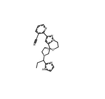 CCC(c1ncc[nH]1)N1CC[C@]2(C1)OCCn1nc(-c3ncccc3C#N)cc12